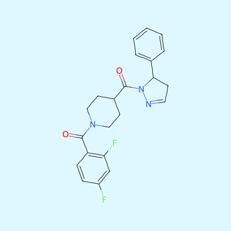 O=C(c1ccc(F)cc1F)N1CCC(C(=O)N2N=CCC2c2ccccc2)CC1